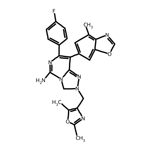 Cc1nc(CN2CN3C(N)=NC(c4ccc(F)cc4)=C(c4cc(C)c5ncoc5c4)C3=N2)c(C)o1